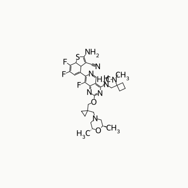 C[C@@H]1CN(CC2(COc3nc(NCC4(N(C)C)CCC4)c4cnc(C5=CC(F)=C(F)C6SC(N)=C(C#N)C56)c(F)c4n3)CC2)C[C@@H](C)O1